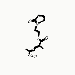 CC(=CC=C(C)C(=O)OCCN1CCCC1=O)C(=O)O